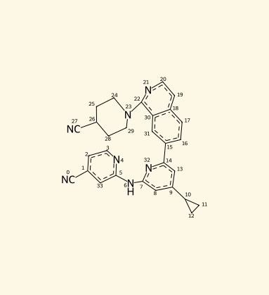 N#Cc1ccnc(Nc2cc(C3CC3)cc(-c3ccc4ccnc(N5CCC(C#N)CC5)c4c3)n2)c1